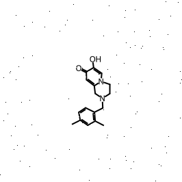 Cc1ccc(CN2CCn3cc(O)c(=O)cc3C2)c(C)c1